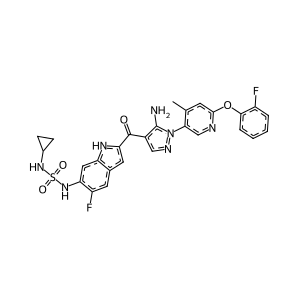 Cc1cc(Oc2ccccc2F)ncc1-n1ncc(C(=O)c2cc3cc(F)c(NS(=O)(=O)NC4CC4)cc3[nH]2)c1N